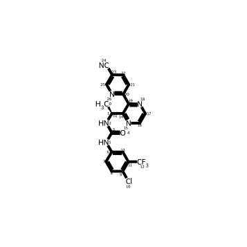 C[C@H](NC(=O)Nc1ccc(Cl)c(C(F)(F)F)c1)c1nccnc1-c1ccc(C#N)cn1